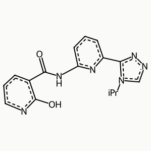 CC(C)n1cnnc1-c1cccc(NC(=O)c2cccnc2O)n1